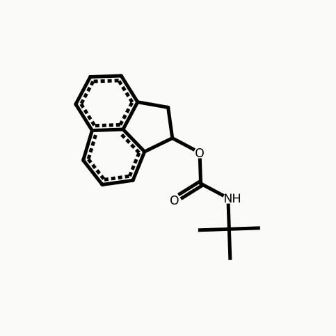 CC(C)(C)NC(=O)OC1Cc2cccc3cccc1c23